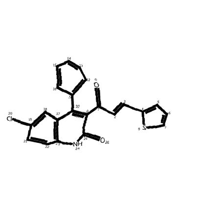 O=C(C=Cc1cccs1)c1c(-c2ccccc2)c2cc(Cl)ccc2[nH]c1=O